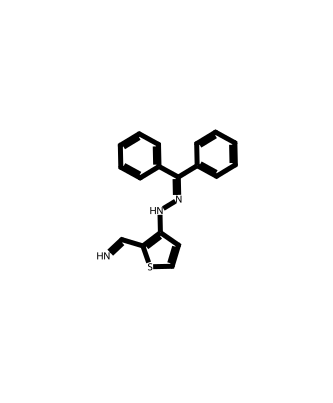 N=Cc1sccc1NN=C(c1ccccc1)c1ccccc1